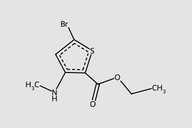 CCOC(=O)c1sc(Br)cc1NC